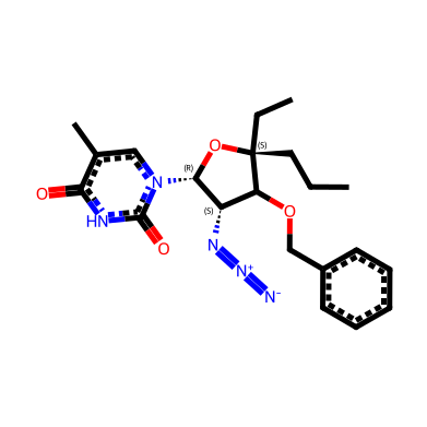 CCC[C@]1(CC)O[C@@H](n2cc(C)c(=O)[nH]c2=O)[C@@H](N=[N+]=[N-])C1OCc1ccccc1